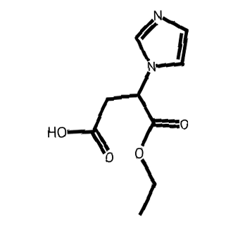 CCOC(=O)C(CC(=O)O)n1ccnc1